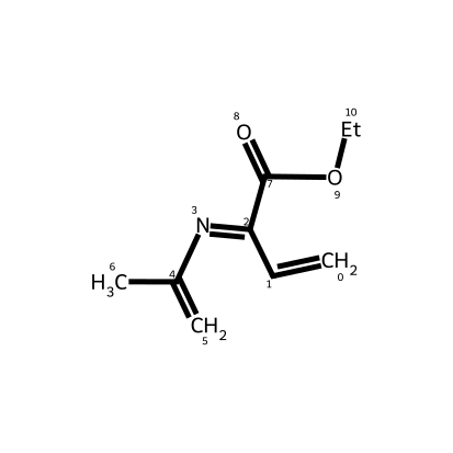 C=C/C(=N\C(=C)C)C(=O)OCC